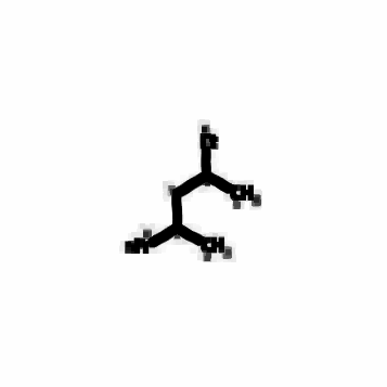 [CH2]CCC(C)CC(C)CC